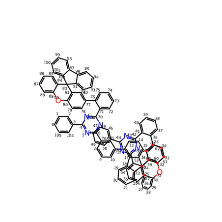 c1ccc(-c2nc(-c3cccc(-c4cccc5c4-c4ccccc4C54c5ccccc5Oc5ccc(-c6ccccc6-c6nc(-c7ccccc7)nc(-c7ccccc7-c7ccccc7)n6)cc54)c3)nc(-c3ccccc3-c3ccc4c(c3)C3(c5ccccc5O4)c4ccccc4-c4ccccc43)n2)cc1